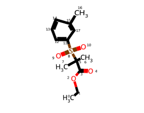 CCOC(=O)C(C)(C)S(=O)(=O)c1cccc(C)c1